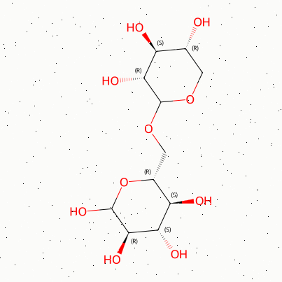 OC1O[C@H](COC2OC[C@@H](O)[C@H](O)[C@H]2O)[C@@H](O)[C@H](O)[C@H]1O